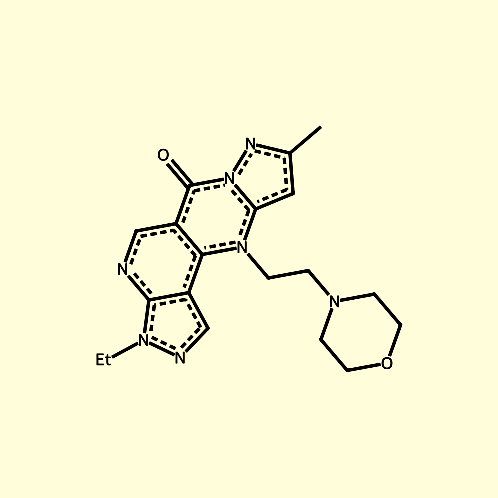 CCn1ncc2c1ncc1c(=O)n3nc(C)cc3n(CCN3CCOCC3)c12